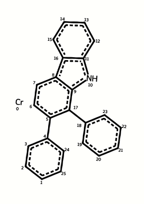 [Cr].c1ccc(-c2ccc3c([nH]c4ccccc43)c2-c2ccccc2)cc1